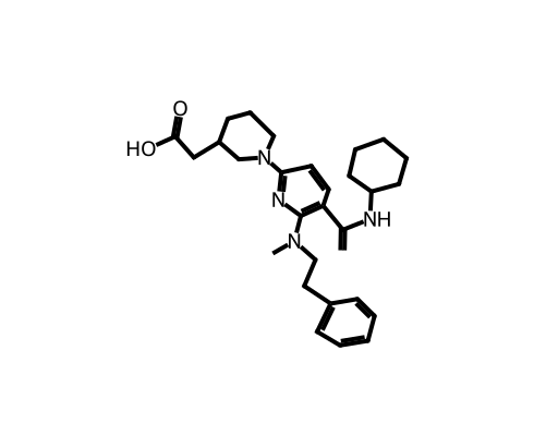 C=C(NC1CCCCC1)c1ccc(N2CCCC(CC(=O)O)C2)nc1N(C)CCc1ccccc1